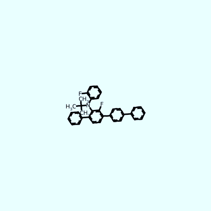 CC(C)(C)N(c1ccccc1F)c1c(-c2ccccc2)ccc(-c2ccc(-c3ccccc3)cc2)c1F